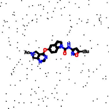 CC(=O)N1Cc2ncnc(Oc3ccc4c(ccn4C(=O)Nc4cc(C(C)(C)C)on4)c3)c2C1